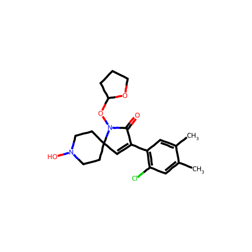 Cc1cc(Cl)c(C2=CC3(CCN(O)CC3)N(OC3CCCO3)C2=O)cc1C